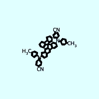 Cc1ccc(N(c2ccc(C#N)cc2)c2ccc3c(c2)C2(c4ccccc4-c4ccccc42)c2cc4cc(N(c5ccc(C)cc5)c5ccc(C#N)cc5)ccc4cc2-3)cc1